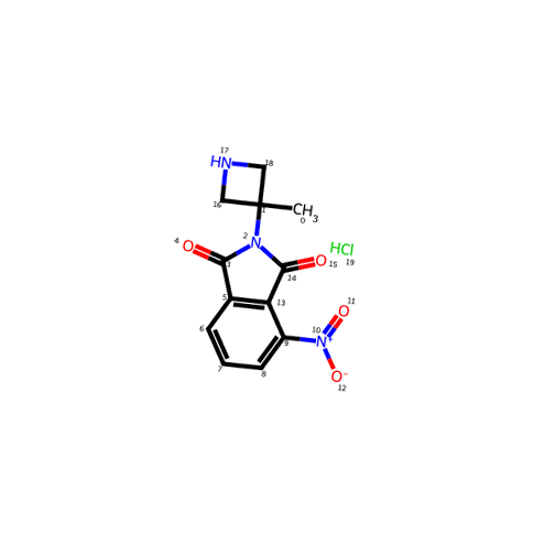 CC1(N2C(=O)c3cccc([N+](=O)[O-])c3C2=O)CNC1.Cl